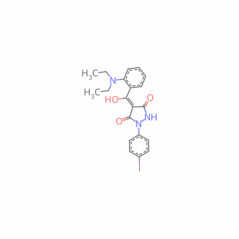 CCN(CC)c1ccccc1C(O)=C1C(=O)NN(c2ccc(I)cc2)C1=O